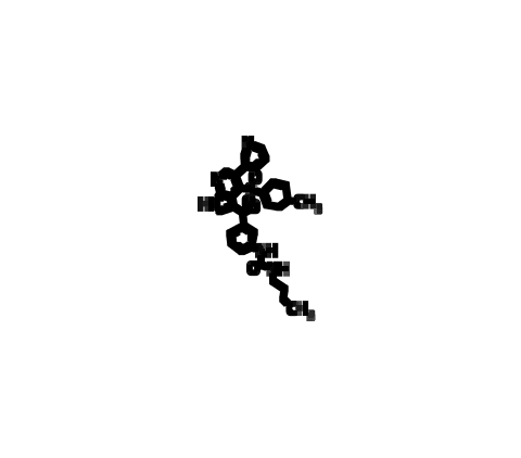 CCCCNC(=O)Nc1cccc(C(=O)c2c[nH]c3ncc(-c4cccnc4)c(S(=O)(=O)C4=CCC(C)C=C4)c23)c1